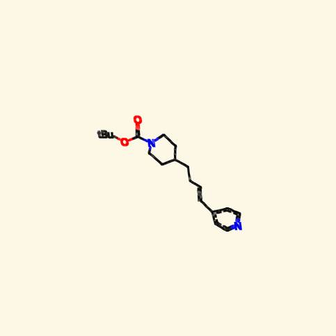 CC(C)(C)OC(=O)N1CCC(CCC=Cc2ccncc2)CC1